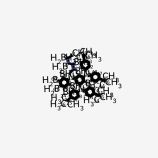 B/C(C#C)=C(B)/C(B)=C(/B)CN(c1cc2c3c(c1)N(c1ccc(C(C)(C)C)cc1)c1ccc(C(C)(C)C)cc1B3c1cc(C(C)(C)C)ccc1N2c1ccc(C(C)(C)C)cc1)c1c(B)c(B)c(B)c(B)c1B